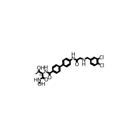 C[C@@H](O)[C@H](NC(=O)c1ccc(-c2ccc(NC(=O)CNCc3ccc(Cl)c(Cl)c3)cc2)cc1)C(=O)NO